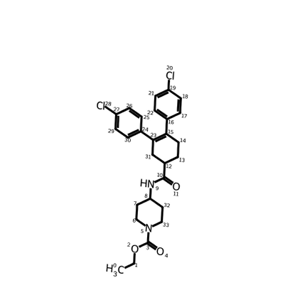 CCOC(=O)N1CCC(NC(=O)C2CCC(c3ccc(Cl)cc3)=C(c3ccc(Cl)cc3)C2)CC1